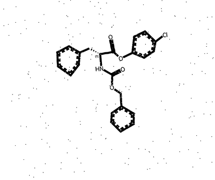 O=C(N[C@H](Cc1ccccc1)C(=O)Oc1ccc(Cl)cc1)OCc1ccccc1